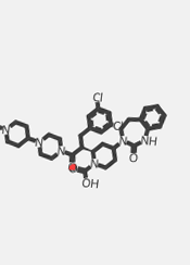 CN1CCC(N2CCN(C(=O)C(Cc3cc(Cl)cc(Cl)c3)[C@H]3CC(N4CCc5ccccc5NC4=O)CCN3C(=O)O)CC2)CC1